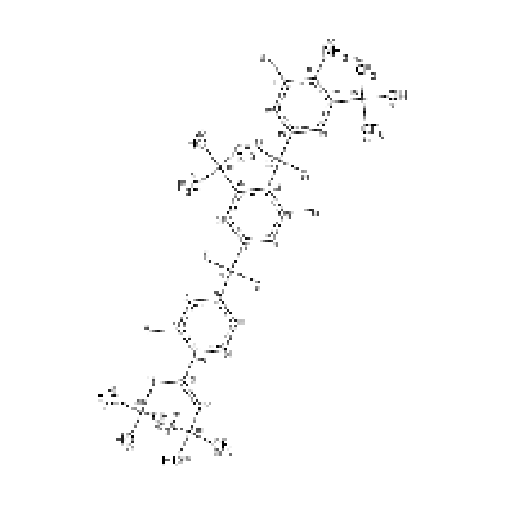 Cc1cc(C(C)(C)c2cc(C)c(C(C)(C)c3cc(C)c(N)c(C(O)(C(F)(F)F)C(F)(F)F)c3)c(C(O)(C(F)(F)F)C(F)(F)F)c2)ccc1/C(=C/C(O)(C(F)(F)F)C(F)(F)F)CC(O)(C(F)(F)F)C(F)(F)F